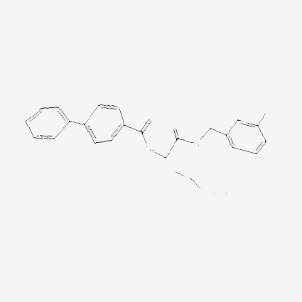 O=C(O)CC[C@H](NC(=O)c1ccc(-c2ccccc2)cc1)C(=O)NCc1cccc(F)c1